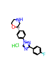 Cl.Fc1ccc(-c2ncn(-c3ccc([C@H]4CNCCO4)cc3)n2)cc1